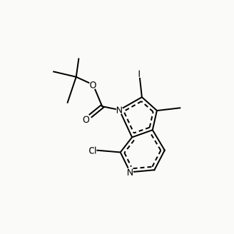 Cc1c(I)n(C(=O)OC(C)(C)C)c2c(Cl)nccc12